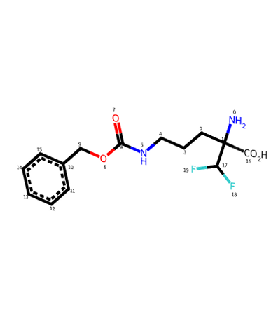 NC(CCCNC(=O)OCc1ccccc1)(C(=O)O)C(F)F